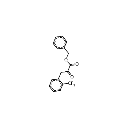 O=C(Cc1ccccc1C(F)(F)F)C(=O)OCc1ccccc1